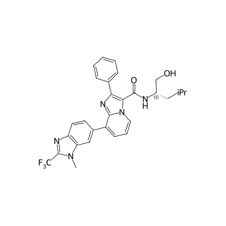 CC(C)C[C@@H](CO)NC(=O)c1c(-c2ccccc2)nc2c(-c3ccc4nc(C(F)(F)F)n(C)c4c3)cccn12